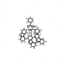 c1ccc(C2=NC(c3ccc4oc5cccc(-c6cccc7c6sc6cccc(-n8c9ccccc9c9ccccc98)c67)c5c4c3)NC(c3ccccc3)N2)cc1